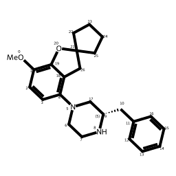 COc1ccc(N2CCN[C@@H](Cc3ccccc3)C2)c2c1OC1(CCCC1)C2